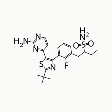 CCC(Cc1cccc(-c2nc(C(C)(C)C)sc2-c2ccnc(N)n2)c1F)S(N)(=O)=O